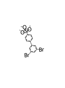 CO[Si](OC)(OC)c1ccc(-c2cc(Br)cc(Br)c2)cc1